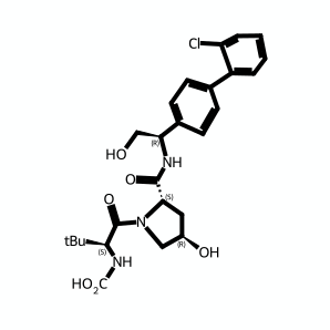 CC(C)(C)[C@H](NC(=O)O)C(=O)N1C[C@H](O)C[C@H]1C(=O)N[C@@H](CO)c1ccc(-c2ccccc2Cl)cc1